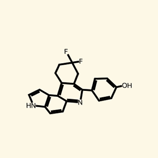 Oc1ccc(-c2nc3ccc4[nH]ccc4c3c3c2CC(F)(F)CC3)cc1